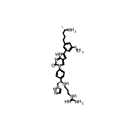 C[C@H](N)CCCc1cc(SC(F)(F)F)cc(-c2cc3cn(-c4ccc([C@H](Cn5ccnn5)NCCCNC(=N)N)cc4)c(=O)nc3[nH]2)c1